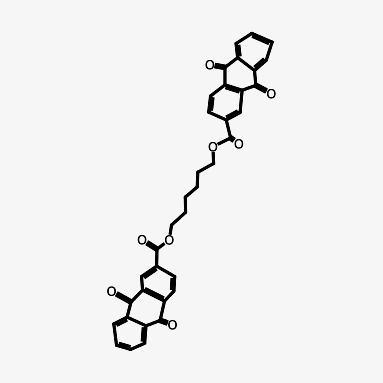 O=C(OCCCCCCOC(=O)c1ccc2c(c1)C(=O)c1ccccc1C2=O)c1ccc2c(c1)C(=O)c1ccccc1C2=O